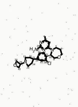 Cc1cc(N2CCCOC[C@H]2c2ccc(C3CCN(C4COC4)CC3)cc2Cl)nc(N)n1